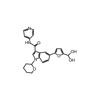 O=C(Nc1ccncc1)c1cn(C2CCCCO2)c2ccc(-c3ccc(C(O)O)o3)cc12